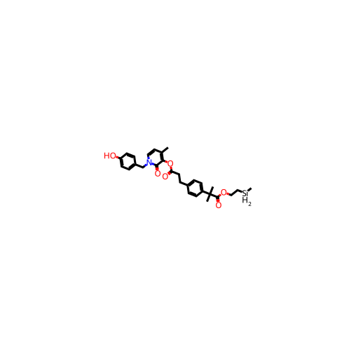 C[SiH2]CCOC(=O)C(C)(C)c1ccc(CCC(=O)Oc2c(C)ccn(Cc3ccc(O)cc3)c2=O)cc1